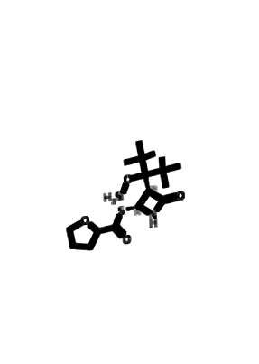 CC(C)(C)C(O[SiH3])([C@H]1C(=O)N[C@@H]1SC(=O)C1CCCO1)C(C)(C)C